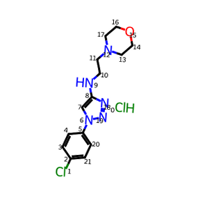 Cl.Clc1ccc(-n2cc(NCCN3CCOCC3)nn2)cc1